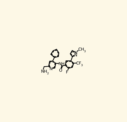 Cn1ccc(-c2cc(C(=O)Nc3cnc(CN)cc3-c3ccccc3)c(F)cc2C(F)(F)F)n1